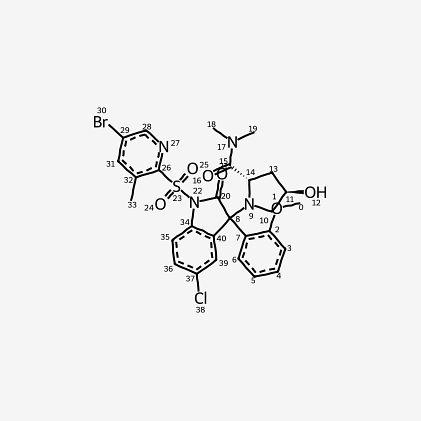 COc1ccccc1C1(N2C[C@H](O)C[C@H]2C(=O)N(C)C)C(=O)N(S(=O)(=O)c2ncc(Br)cc2C)c2ccc(Cl)cc21